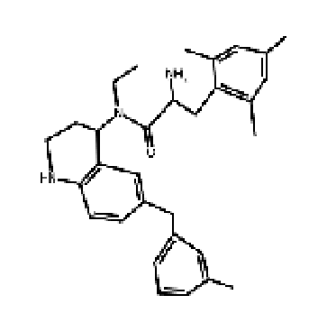 CCN(C(=O)C(N)Cc1c(C)cc(C)cc1C)C1CCNc2ccc(Cc3cccc(C)c3)cc21